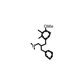 COc1ccc(CC(Cc2ccccc2)CN(C)C)c(C)c1C